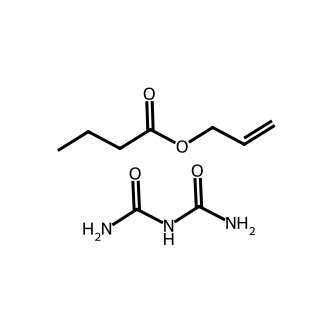 C=CCOC(=O)CCC.NC(=O)NC(N)=O